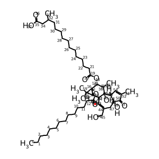 CCCCCCCCCCCCCC(=O)O[C@@]12[C@H](OC(=O)CCCCCCCCCCCC(C)CC(=O)O)[C@@H](C)[C@@]3(O)[C@@H](C=C(CO)C[C@]4(O)C(=O)C(C)=C[C@@H]34)[C@H]1C2(C)C